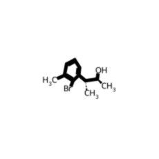 Cc1cccc([C@@H](C)[C@H](C)O)c1Br